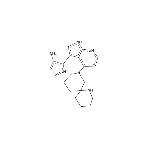 Cc1csnc1-c1c[nH]c2nccc(N3CCCC4(CCCCN4)C3)c12